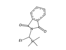 CCC(N1C(=O)c2ccccc2C1=O)[Si](C)(C)C